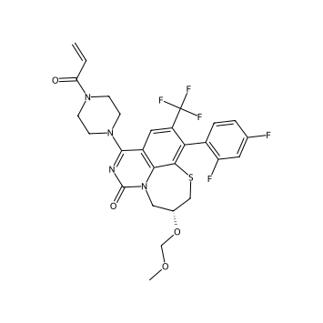 C=CC(=O)N1CCN(c2nc(=O)n3c4c(c(-c5ccc(F)cc5F)c(C(F)(F)F)cc24)SC[C@H](OCOC)C3)CC1